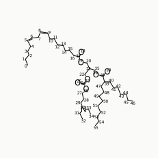 CCCCC/C=C\C/C=C\CCCCCCCC(=O)OCC(COC(=O)OCCCN(CC)CC)COC(=O)C(CCCCCCC)CCCCCCCCC